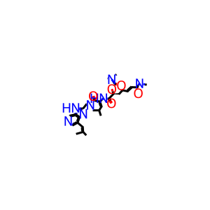 CC(C)=Cc1cncc2[nH]c(CN3CC(C)C=C(NC(=O)[C@H](CC/C=C/C(=O)N(C)C)OC(=O)N(C)C)C3=O)nc12